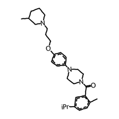 Cc1ccc(C(C)C)cc1C(=O)N1CCN(c2ccc(OCCCN3CCCC(C)C3)cc2)CC1